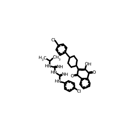 CC(C)NC(=N)NC(=N)Nc1ccc(Cl)cc1.O=C1C(O)=C(C2CCC(c3ccc(Cl)cc3)CC2)C(=O)c2ccccc21